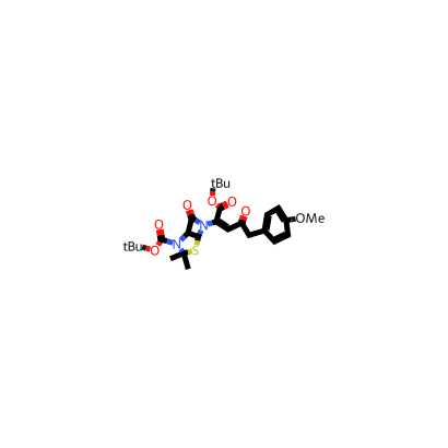 COc1ccc(CC(=O)C=C(C(=O)OC(C)(C)C)N2C(=O)C3C2SC(C)(C)N3C(=O)OC(C)(C)C)cc1